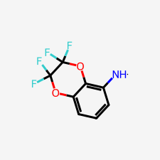 [NH]c1cccc2c1OC(F)(F)C(F)(F)O2